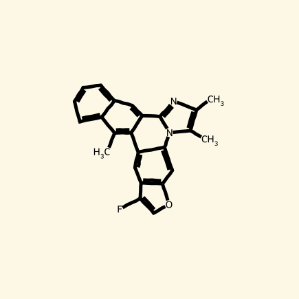 Cc1nc2c3cc4ccccc4c(C)c3c3cc4c(F)coc4cc3n2c1C